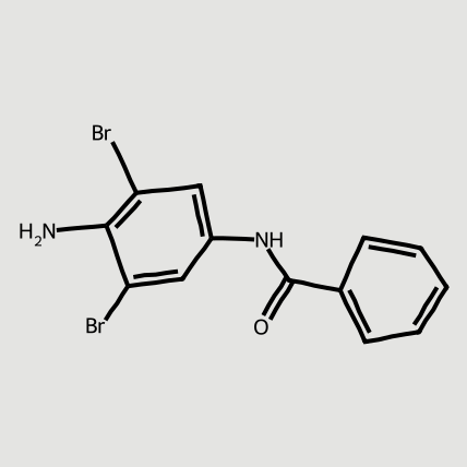 Nc1c(Br)cc(NC(=O)c2ccccc2)cc1Br